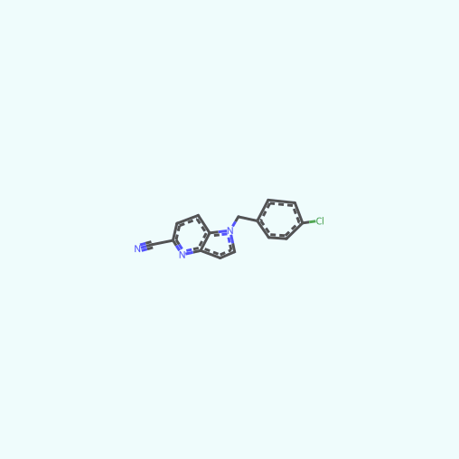 N#Cc1ccc2c(ccn2Cc2ccc(Cl)cc2)n1